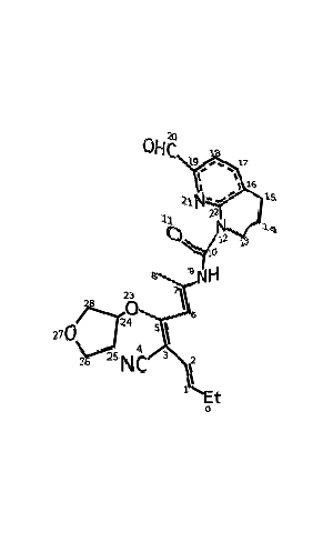 CC/C=C/C(C#N)=C(\C=C(/C)NC(=O)N1CCCc2ccc(C=O)nc21)OC1CCOC1